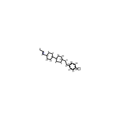 C/C=C/C1CCC(C2CCC(CCc3ccc(Cl)cc3)CC2)CC1